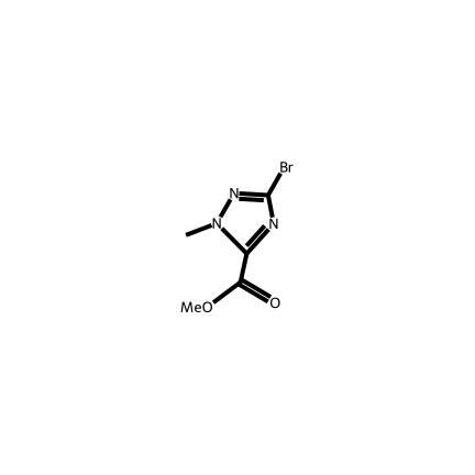 COC(=O)c1nc(Br)nn1C